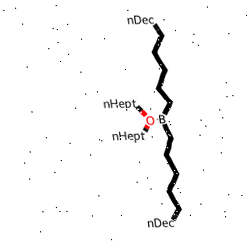 CCCCCCCCCCCCCCC[B]CCCCCCCCCCCCCCC.CCCCCCCOCCCCCCC